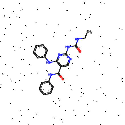 CCNC(=O)Nc1ncc(C(=O)Nc2ccccc2)c(Nc2ccccc2)n1